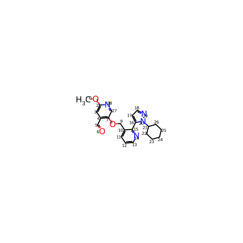 COc1cc(C=O)c(OCc2cccnc2-c2ccnn2C2CCCCC2)cn1